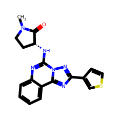 CN1CC[C@@H](Nc2nc3ccccc3c3nc(-c4ccsc4)nn23)C1=O